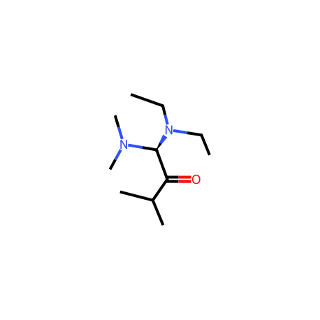 CCN(CC)[C@@H](C(=O)C(C)C)N(C)C